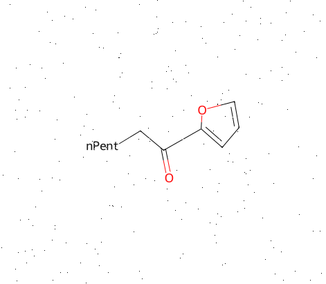 CCCCCCC(=O)c1ccco1